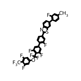 Cc1ccc(-c2ccc3nc(-c4ccc(-c5cc(F)c(C(F)(F)Oc6cc(F)c(C(F)(F)F)c(F)c6)c(F)c5)c(F)c4)sc3c2)c(F)c1